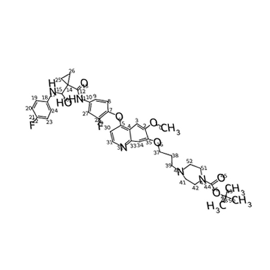 COc1cc2c(Oc3ccc(NC(=O)C4(C(O)Nc5ccc(F)cc5)CC4)cc3F)ccnc2cc1OCCCN1CCN(C(=O)OC(C)(C)C)CC1